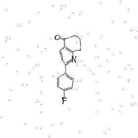 O=C1CCCc2nc(-c3ccc(F)cc3)ccc21